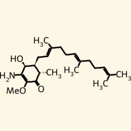 COC1=C(N)[C@@H](O)[C@@H](C/C=C(\C)CC/C=C(\C)CCC=C(C)C)[C@H](C)C1=O